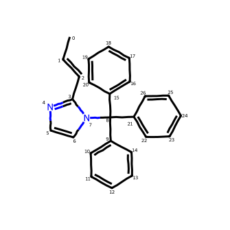 C/C=C/c1nccn1C(c1ccccc1)(c1ccccc1)c1ccccc1